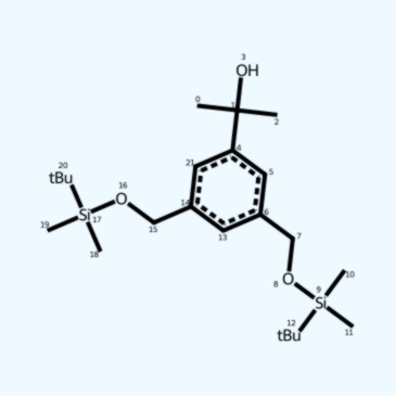 CC(C)(O)c1cc(CO[Si](C)(C)C(C)(C)C)cc(CO[Si](C)(C)C(C)(C)C)c1